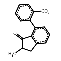 CC1Cc2cccc(-c3ccccc3C(=O)O)c2C1=O